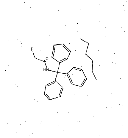 CCCCCC.O=C(CF)NC(c1ccccc1)(c1ccccc1)c1ccccc1